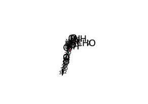 NC(=O)C(CCC=O)N1C(=O)c2cccc(NC(=O)CCCCCOCCOCCCCCCI)c2C1=O